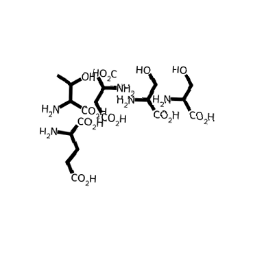 CC(O)C(N)C(=O)O.NC(CC(=O)O)C(=O)O.NC(CCC(=O)O)C(=O)O.NC(CO)C(=O)O.NC(CO)C(=O)O